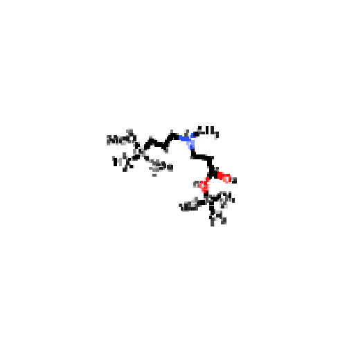 CO[Si](C)(CCCN(C)CCC(=O)O[Si](C)(C)C(C)(C)C)OC